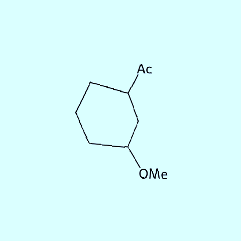 COC1CCCC(C(C)=O)C1